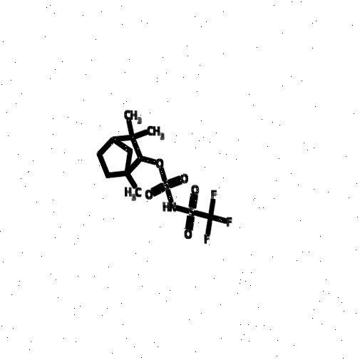 CC12CCC(C1)C(C)(C)C2OS(=O)(=O)NS(=O)(=O)C(F)(F)F